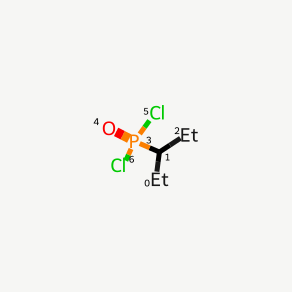 CCC(CC)P(=O)(Cl)Cl